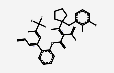 C=C/C=C(\C=C(/C)C(F)(F)F)c1ccccc1NC(=C)/C(C(=C)C)=C(\C)C1(Cc2cccc(F)c2F)CCCC1